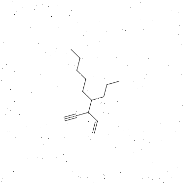 C#C[C](C=C)C(CCC)CCCCC